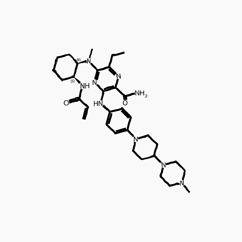 C=CC(=O)N[C@H]1CCCC[C@H]1N(C)c1nc(Nc2ccc(N3CCC(N4CCN(C)CC4)CC3)cc2)c(C(N)=O)nc1CC